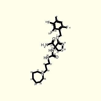 Cc1cc(F)c(COC2=NSCC2(NC(=O)NCCCN2CCCCCC2)C(N)=O)c(F)c1F